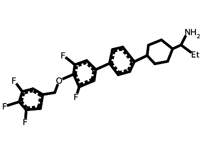 CCC(N)C1CCC(c2ccc(-c3cc(F)c(OCc4cc(F)c(F)c(F)c4)c(F)c3)cc2)CC1